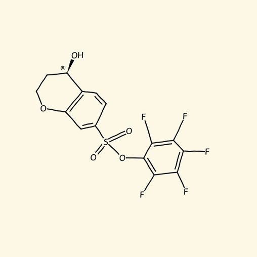 O=S(=O)(Oc1c(F)c(F)c(F)c(F)c1F)c1ccc2c(c1)OCC[C@H]2O